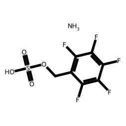 N.O=S(=O)(O)OCc1c(F)c(F)c(F)c(F)c1F